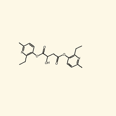 CCc1nc(C)ccc1OC(=O)CC(O)C(=O)Oc1ccc(C)nc1CC